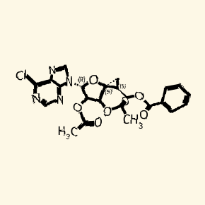 CC(=O)OC1C(OC(C)=O)[C@@]2(C[C@H]2COC(=O)c2ccccc2)O[C@H]1n1cnc2c(Cl)ncnc21